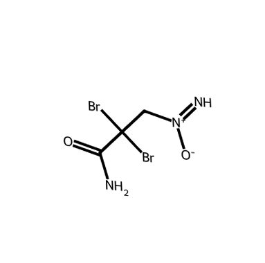 N=[N+]([O-])CC(Br)(Br)C(N)=O